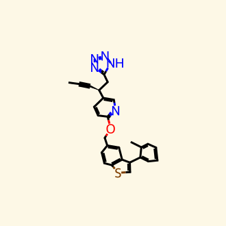 CC#C[C@@H](Cc1nnn[nH]1)c1ccc(OCc2ccc3scc(-c4ccccc4C)c3c2)nc1